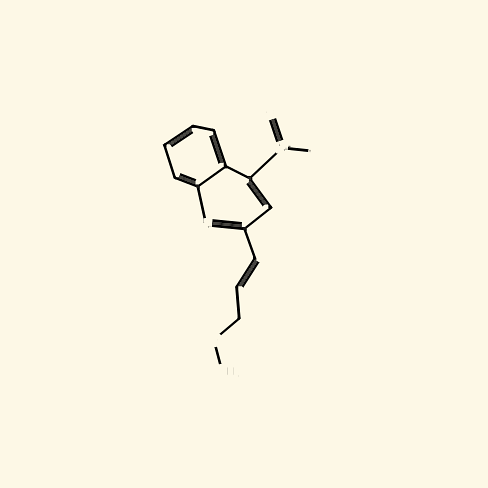 COCC=Cc1cc([N+](=O)[O-])c2ccccc2n1